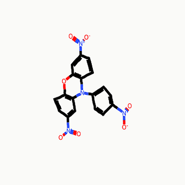 O=[N+]([O-])c1ccc(N2c3ccc([N+](=O)[O-])cc3Oc3ccc([N+](=O)[O-])cc32)cc1